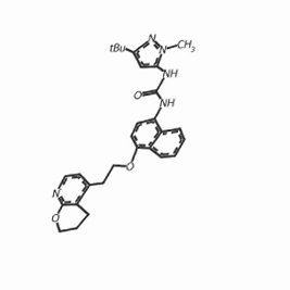 Cn1nc(C(C)(C)C)cc1NC(=O)Nc1ccc(OCCc2ccnc3c2CCCO3)c2ccccc12